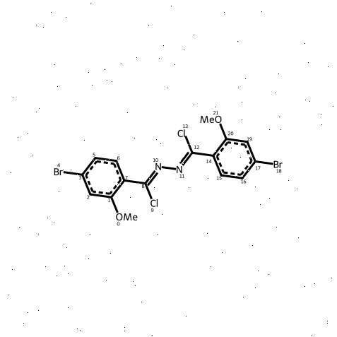 COc1cc(Br)ccc1C(Cl)=NN=C(Cl)c1ccc(Br)cc1OC